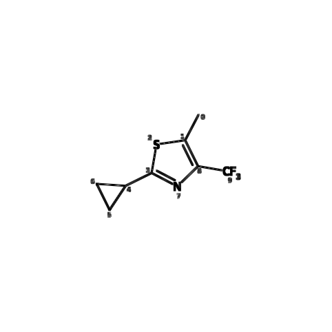 Cc1sc(C2CC2)nc1C(F)(F)F